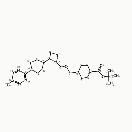 CC(C)(C)OC(=O)N1CCC(COC[C@@H]2CC[C@@H]2C2CCN(c3ncc(Cl)cn3)CC2)CC1